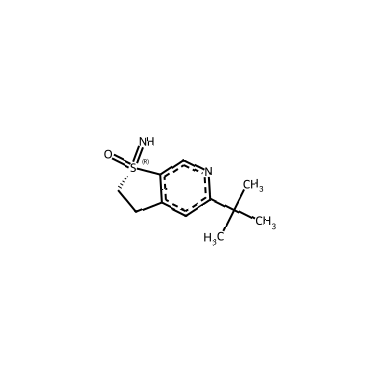 CC(C)(C)c1cc2c(cn1)[S@](=N)(=O)CC2